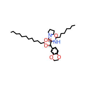 CCCCCCCCCCCC(O)O[C@H](c1ccc2c(c1)OCCO2)[C@@H](CN1CCCC1)NC(=O)CCCCCCC